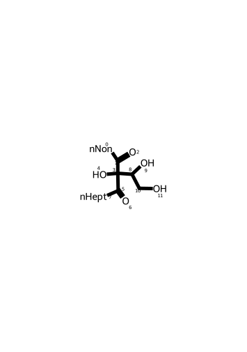 CCCCCCCCCC(=O)C(O)(C(=O)CCCCCCC)C(O)CO